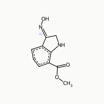 COC(=O)c1cccc2c1NC/C2=N\O